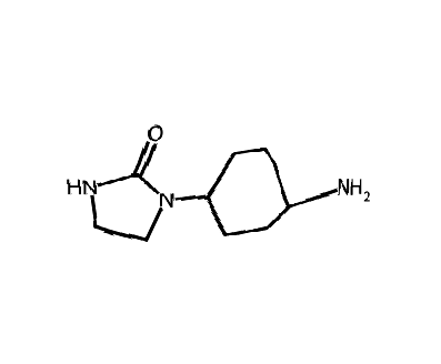 NC1CCC(N2CCNC2=O)CC1